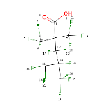 O=C(O)C(C(F)(F)F)(C(F)(F)F)C(F)(F)C(F)(C(F)(F)F)C(F)(F)F